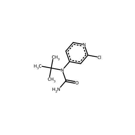 CC(C)(C)N(C(N)=O)c1ccnc(Cl)c1